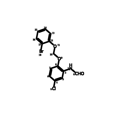 O=CNc1cc(Cl)ccc1OCOc1ccccc1Br